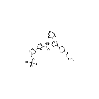 CCO[C@H]1CC[C@H](n2cc(NC(=O)c3csc(-c4cnn(COP(=O)(O)O)c4)n3)c(-c3ncccn3)n2)CC1